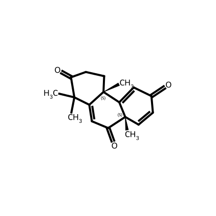 CC1(C)C(=O)CC[C@@]2(C)C1=CC(=O)[C@@]1(C)C=CC(=O)C=C12